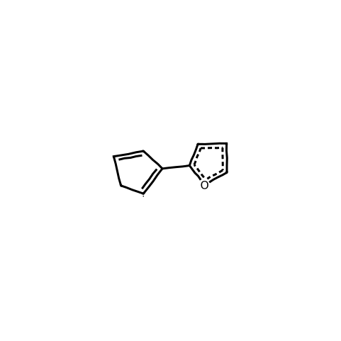 [C]1=C(c2ccco2)C=CC1